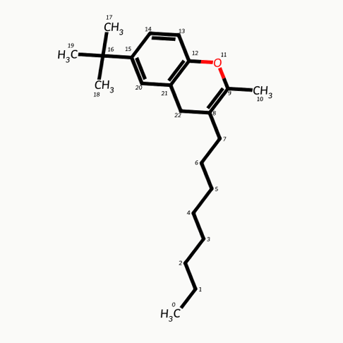 CCCCCCCCC1=C(C)Oc2ccc(C(C)(C)C)cc2C1